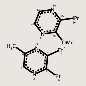 CCc1ncc(C)nc1CC.COc1nccnc1C(C)C